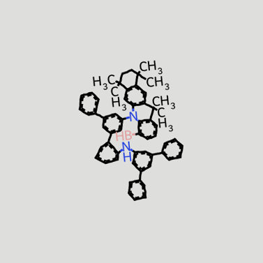 CC1(C)CCC(C)(C)c2cc3c(cc21)N1c2cc(-c4ccccc4)cc(-c4ccccc4Nc4cc(-c5ccccc5)cc(-c5ccccc5)c4)c2Bc2cccc(c21)C3(C)C